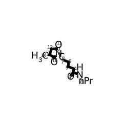 CCCNC(=O)CCCCCN1C(=O)CC(C)C1=O